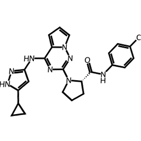 Cc1ccc(NC(=O)[C@@H]2CCCN2c2nc(Nc3cc(C4CC4)[nH]n3)c3cccn3n2)cc1